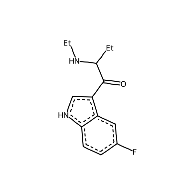 CCNC(CC)C(=O)c1c[nH]c2ccc(F)cc12